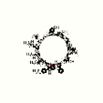 CCCC[C@H]1C(=O)N(C)[C@@H](CCCC)C(=O)NC(CCCNC(=N)N)C(=O)N[C@H](C(=O)NCC(N)=O)CSCC(=O)N[C@@H](Cc2ccc(O)cc2)C(=O)N(C)[C@@H](C)C(=O)N[C@@H](CC(N)=O)C(=O)N2CCCC2C(=O)N[C@@H](CN)C(=O)N[C@@H](CC(C)C)C(=O)N2C[C@H](O)CC2C(=O)N[C@@H](Cc2c[nH]c3ccccc23)C(=O)N[C@@H](CO)C(=O)N[C@@H](Cc2c(-c3ccc(OC)cc3)[nH]c3ccccc23)C(=O)N1C